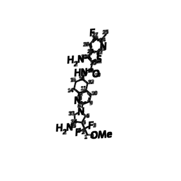 COCC(F)(F)C1CN(c2ccc3c(n2)CCC(NC(=O)c2sc4nc(C)c(F)cc4c2N)C3)CC1N